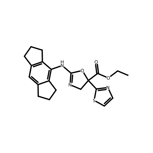 CCOC(=O)C1(c2nccs2)CN=C(Nc2c3c(cc4c2CCC4)CCC3)O1